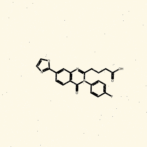 O=C(O)CCCc1nc2cc(-c3ncco3)ccc2c(=O)n1-c1ccc(F)cc1